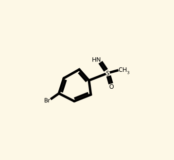 CS(=N)(=O)c1ccc(Br)cc1